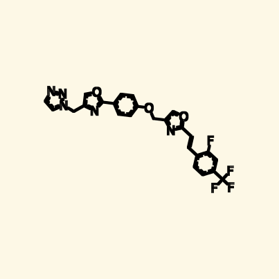 Fc1cc(C(F)(F)F)ccc1C=Cc1nc(COc2ccc(-c3nc(Cn4ccnn4)co3)cc2)co1